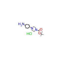 CC(C)(C)OC(=O)N1CCN(c2ccc(N)cc2)CC1.Cl